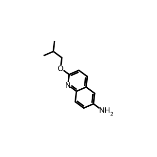 CC(C)COc1ccc2cc(N)ccc2n1